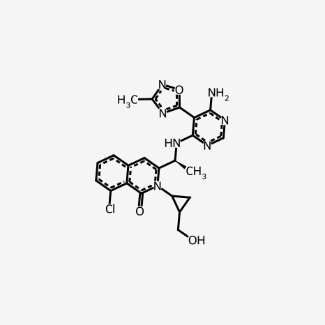 Cc1noc(-c2c(N)ncnc2N[C@@H](C)c2cc3cccc(Cl)c3c(=O)n2C2CC2CO)n1